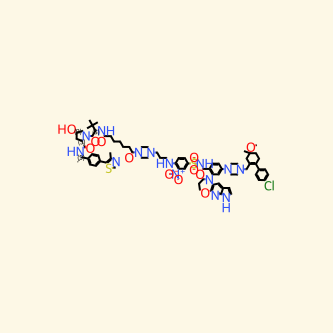 COC1(C)CCC(c2ccc(Cl)cc2)=C(CN2CCN(c3ccc(C(=O)NS(=O)(=O)c4ccc(NCCCN5CCN(C(=O)CCCCCC(=O)N[C@H](C(=O)N6C[C@H](O)C[C@H]6C(=O)N[C@@H](C)c6ccc(-c7scnc7C)cc6)C(C)(C)C)CC5)c([N+](=O)[O-])c4)c(N4CCCOc5nc6[nH]ccc6cc54)c3)CC2)C1